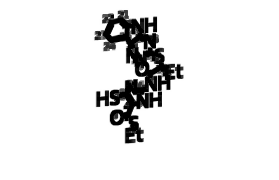 CCSC(=O)c1[nH]c(NC(=O)C(CC)Sc2nnc3c(n2)[nH]c2ccccc23)nc1S